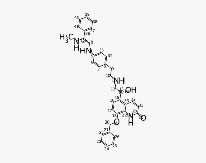 CN[C@H](CNc1ccc(CCNC[C@H](O)c2ccc(OCc3ccccc3)c3[nH]c(=O)ccc23)cc1)c1ccccc1